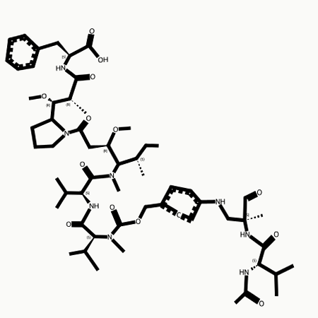 CC[C@H](C)C([C@@H](CC(=O)N1CCCC1[C@H](OC)[C@@H](C)C(=O)N[C@@H](Cc1ccccc1)C(=O)O)OC)N(C)C(=O)[C@@H](NC(=O)[C@H](C(C)C)N(C)C(=O)OCc1ccc(NC[C@@](C)(C=O)NC(=O)[C@@H](NC(C)=O)C(C)C)cc1)C(C)C